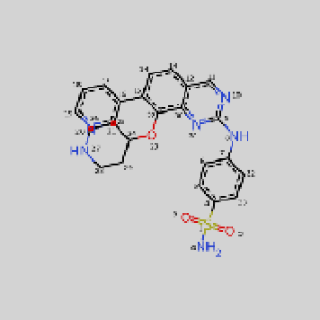 NS(=O)(=O)c1ccc(Nc2ncc3ccc(-c4cccnc4)c(OC4CCNCC4)c3n2)cc1